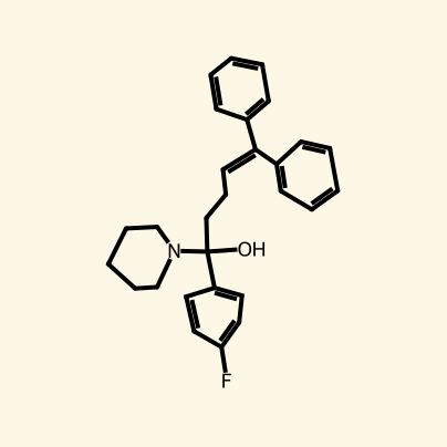 OC(CCC=C(c1ccccc1)c1ccccc1)(c1ccc(F)cc1)N1CCCCC1